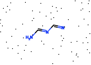 [N]=C/N=C/N